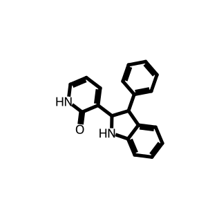 O=c1[nH]cccc1C1Nc2ccccc2C1c1ccccc1